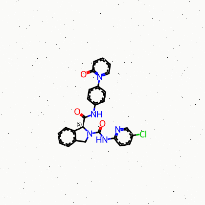 O=C(Nc1ccc(-n2ccccc2=O)cc1)[C@@H]1c2ccccc2CN1C(=O)Nc1ccc(Cl)cn1